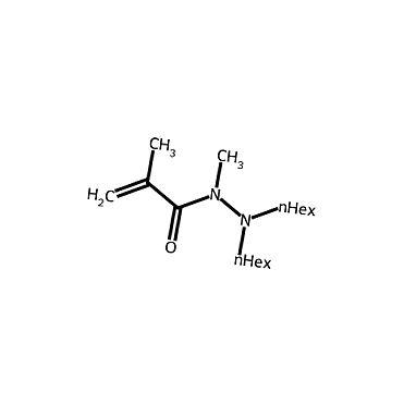 C=C(C)C(=O)N(C)N(CCCCCC)CCCCCC